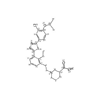 CCc1c(CCN2CCCC(C(=O)O)C2)cccc1-c1nnc(-c2ccc(OC(C)C)c(Cl)c2)s1